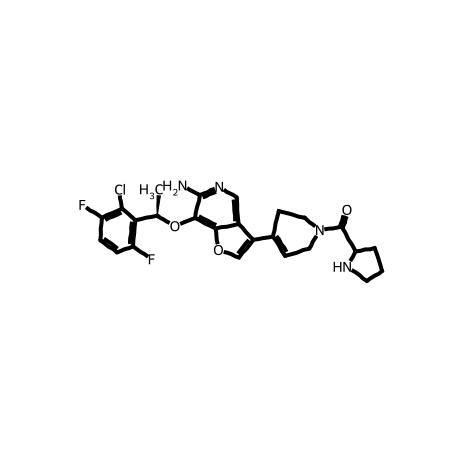 C[C@@H](Oc1c(N)ncc2c(C3=CCN(C(=O)C4CCCN4)CC3)coc12)c1c(F)ccc(F)c1Cl